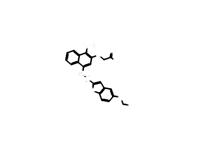 CCOc1ccc2sc(S(=O)(=O)Nc3cc(SCC(=O)O)c(O)c4ccccc34)cc2c1